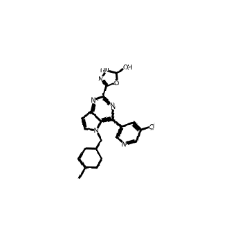 CC1CCC(Cn2ccc3nc(C4=NNC(O)O4)nc(-c4cncc(Cl)c4)c32)CC1